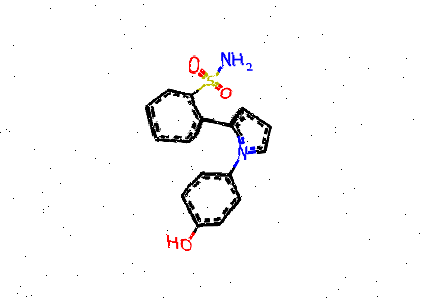 NS(=O)(=O)c1ccccc1-c1cccn1-c1ccc(O)cc1